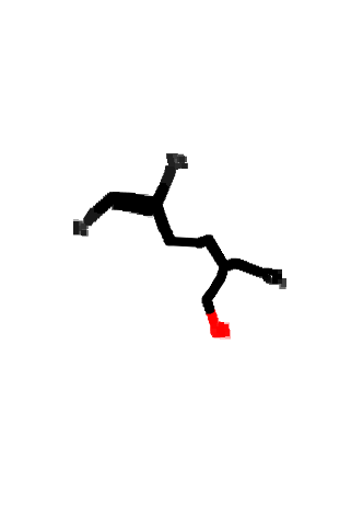 CC/C=C(/CC)CCC(C)CO